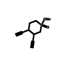 C#CC1CCP(=O)(OC)CC1C#C